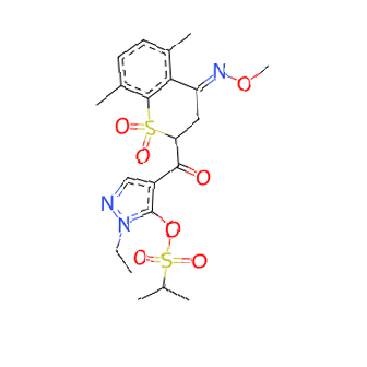 CCn1ncc(C(=O)C2CC(=NOC)c3c(C)ccc(C)c3S2(=O)=O)c1OS(=O)(=O)C(C)C